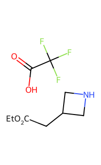 CCOC(=O)CC1CNC1.O=C(O)C(F)(F)F